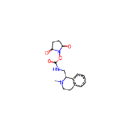 CN1CCc2ccccc2C1CNC(=O)ON1C(=O)CCC1=O